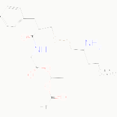 CCC(=O)OC(C)OC(=O)CNC(=O)C(CSSCC(N)CCSC)Cc1ccccc1